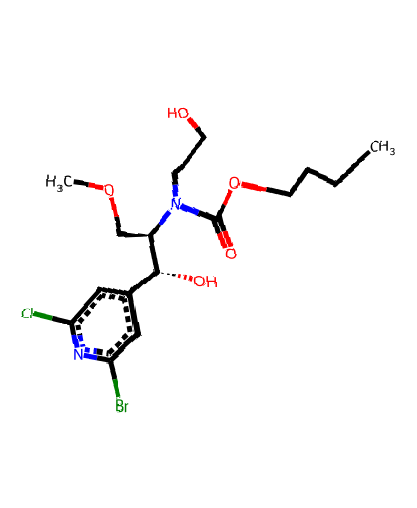 CCCCOC(=O)N(CCO)[C@H](COC)[C@H](O)c1cc(Cl)nc(Br)c1